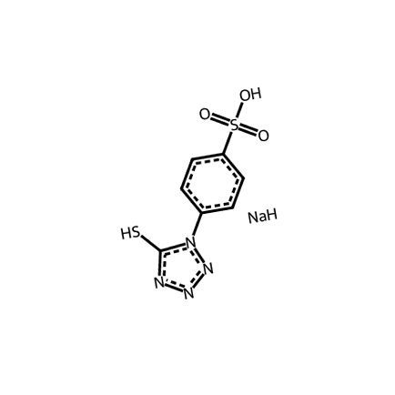 O=S(=O)(O)c1ccc(-n2nnnc2S)cc1.[NaH]